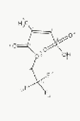 CC(=CS(=O)(=O)O)C(=O)OCC(F)(F)F